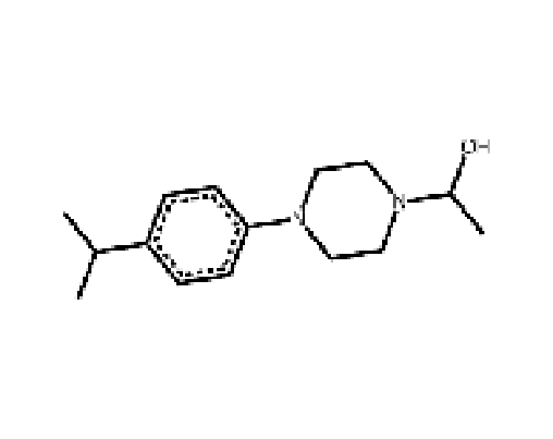 CC(C)c1ccc(N2CCN(C(C)O)CC2)cc1